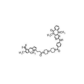 Cc1cc(C)n(B(F)F)c1/C=C1/C=CC(CCC(=O)N2CCN(C3CCN(C(=O)c4ccc(Nc5ncc6c(n5)N(C)c5ccccc5C(=O)N6C)cc4)CC3)CC2)=N1